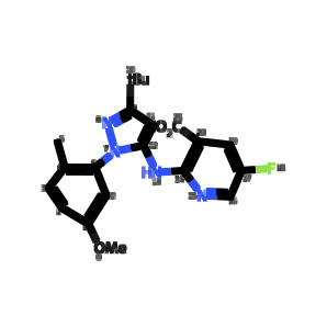 COc1ccc(C)c(-n2nc(C(C)(C)C)cc2Nc2ncc(F)cc2C(=O)O)c1